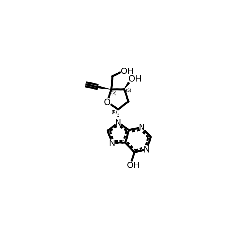 C#C[C@]1(CO)O[C@@H](n2cnc3c(O)ncnc32)C[C@@H]1O